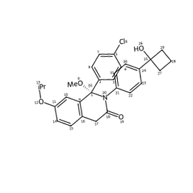 CO[C@@]1(c2ccc(Cl)cc2)c2cc(OC(C)C)ccc2CC(=O)N1c1ccc(C2(O)CCC2)cc1